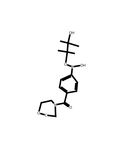 CC(C)(O)C(C)(C)OB(O)c1ccc(C(=O)N2CCOCC2)cc1